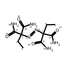 CCC(N=NC(CC)(C(N)=O)C(N)=O)(C(N)=O)C(N)=O